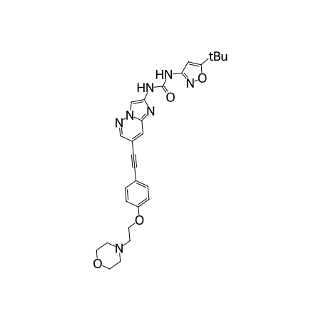 CC(C)(C)c1cc(NC(=O)Nc2cn3ncc(C#Cc4ccc(OCCN5CCOCC5)cc4)cc3n2)no1